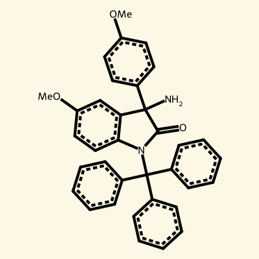 COc1ccc(C2(N)C(=O)N(C(c3ccccc3)(c3ccccc3)c3ccccc3)c3ccc(OC)cc32)cc1